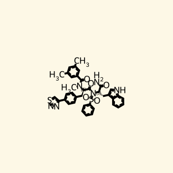 Cc1cc(C)cc(C(=O)N(C)[C@H](Cc2ccc(-c3csnn3)cc2)C(=O)N([C@@H](Cc2c[nH]c3ccccc23)C(N)=O)S(=O)(=O)c2ccccc2)c1